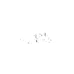 Cc1cc(CCNc2ccc(Cl)nc2-c2c[nH]nc2C)c2c(c1)c(=O)n(C)c1c2cnn1C1CCN(C(=O)OCc2ccccc2)CC1